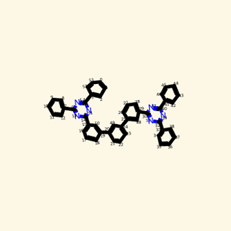 c1ccc(-c2nc(-c3ccccc3)nc(-c3cccc(-c4cccc(-c5cccc(-c6nc(-c7ccccc7)nc(-c7ccccc7)n6)c5)c4)c3)n2)cc1